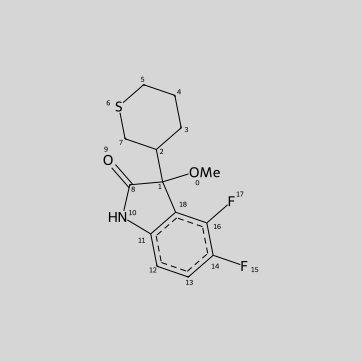 COC1(C2CCCSC2)C(=O)Nc2ccc(F)c(F)c21